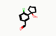 O=Cc1ccc(Cl)c(C2(O)CCCC2)c1